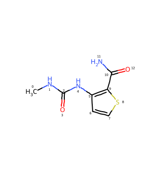 CNC(=O)Nc1ccsc1C(N)=O